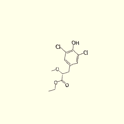 CCOC(=O)C(Cc1cc(Cl)c(O)c(Cl)c1)OC